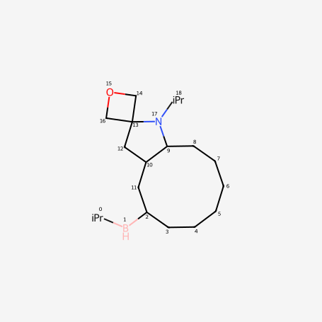 CC(C)BC1CCCCCCC2C(C1)CC1(COC1)N2C(C)C